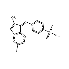 CC1=[C]c2cc(F)ccc2C1=Cc1ccc(S(C)(=O)=O)cc1